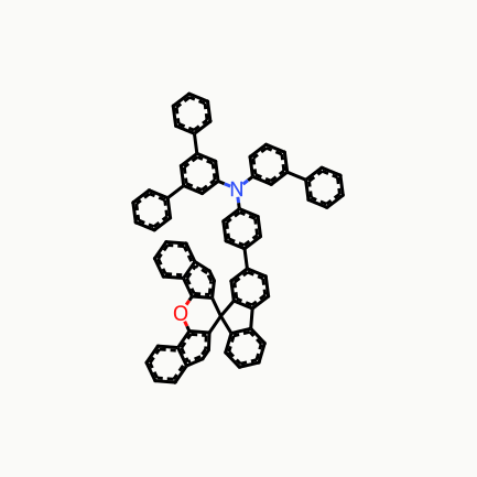 c1ccc(-c2cccc(N(c3ccc(-c4ccc5c(c4)C4(c6ccccc6-5)c5ccc6ccccc6c5Oc5c4ccc4ccccc54)cc3)c3cc(-c4ccccc4)cc(-c4ccccc4)c3)c2)cc1